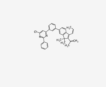 C=C(C)C1=C(/C=C\C)c2ccc(-c3cccc(-c4cc(Cl)nc(-c5ccccc5)n4)c3)cc2C1(C)C